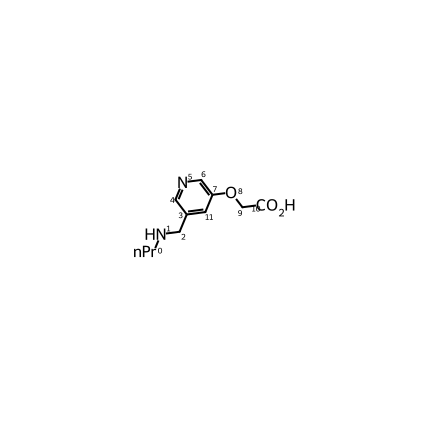 CCCNCc1cncc(OCC(=O)O)c1